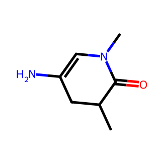 CC1CC(N)=CN(C)C1=O